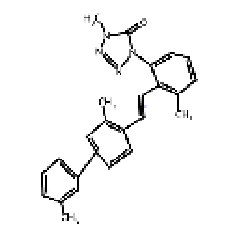 Cc1cccc(-c2ccc(/C=C/c3c(C)cccc3-n3nnn(C)c3=O)c(C)c2)c1